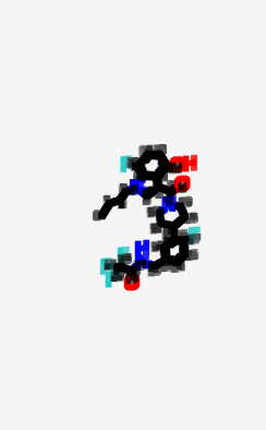 CCCCn1cc(C(=O)N2CCC(c3cc(CNC(=O)C(F)(F)F)ccc3F)CC2)c2c(O)ccc(F)c21